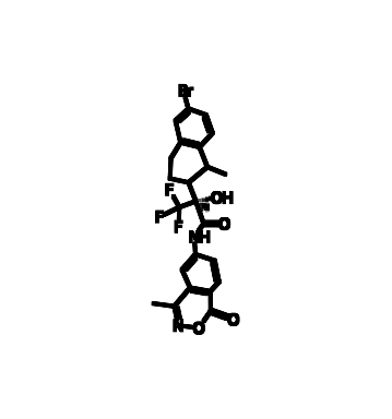 Cc1noc(=O)c2ccc(NC(=O)[C@](O)(C3CCc4cc(Br)ccc4C3C)C(F)(F)F)cc12